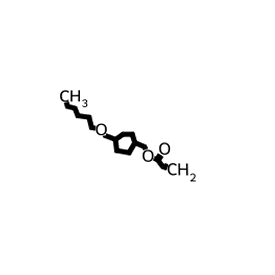 C=CC(=O)OCC1CCC(COCCCCCC)CC1